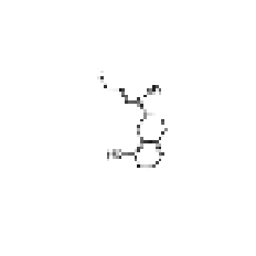 CCCN(/C=C/CI)[C@H]1CCc2cccc(O)c2C1